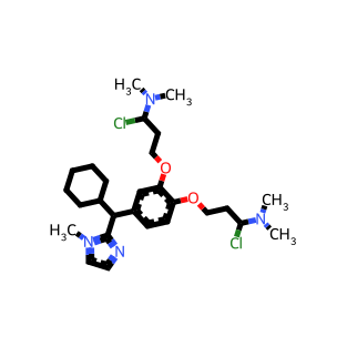 CN(C)C(Cl)CCOc1ccc(C(c2nccn2C)C2CCCCC2)cc1OCCC(Cl)N(C)C